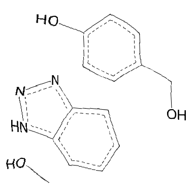 CO.OCc1ccc(O)cc1.c1ccc2[nH]nnc2c1